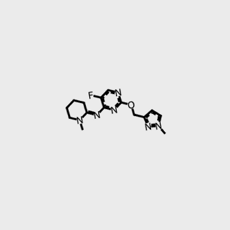 CN1CCCC/C1=N\c1nc(OCc2ccn(C)n2)ncc1F